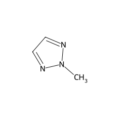 Cn1nccn1